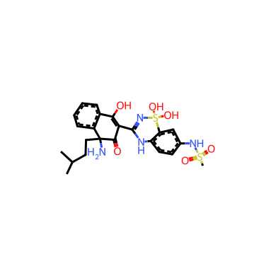 CC(C)CCC1(N)C(=O)C(C2=NS(O)(O)c3cc(NS(C)(=O)=O)ccc3N2)=C(O)c2ccccc21